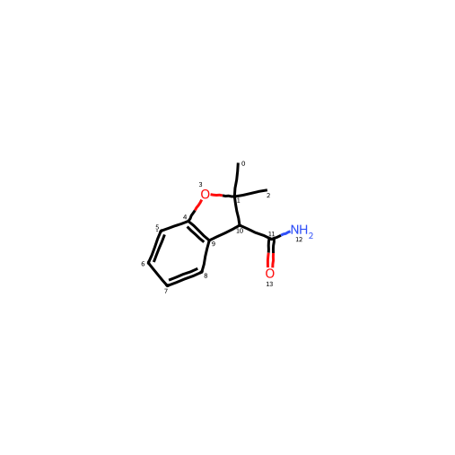 CC1(C)Oc2[c]cccc2C1C(N)=O